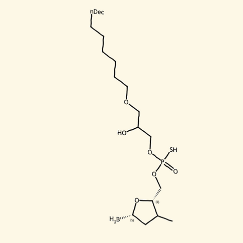 B[C@H]1CC(C)[C@@H](COP(=O)(S)OCC(O)COCCCCCCCCCCCCCCCC)O1